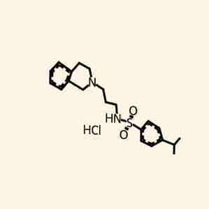 CC(C)c1ccc(S(=O)(=O)NCCCN2CCc3ccccc3C2)cc1.Cl